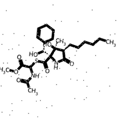 CCCCCC[C@H]1C(=O)N[C@](C(=O)SC(NC(C)=O)C(=O)OC)(C(O)[C@@H]2C=CCCC2)[C@@]1(C)O